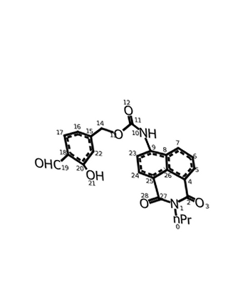 CCCN1C(=O)c2cccc3c(NC(=O)OCc4ccc(C=O)c(O)c4)ccc(c23)C1=O